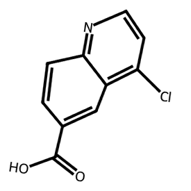 O=C(O)c1ccc2nccc(Cl)c2c1